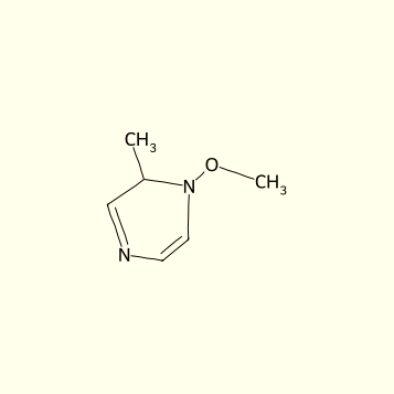 CON1C=CN=CC1C